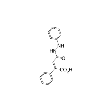 O=C(C=C(C(=O)O)c1ccccc1)NNc1ccccc1